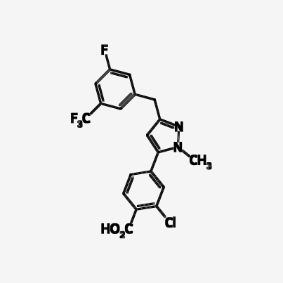 Cn1nc(Cc2cc(F)cc(C(F)(F)F)c2)cc1-c1ccc(C(=O)O)c(Cl)c1